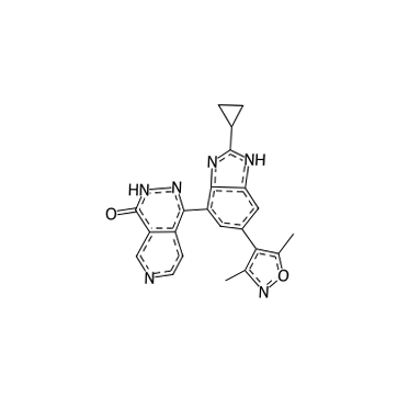 Cc1noc(C)c1-c1cc(-c2n[nH]c(=O)c3cnccc23)c2nc(C3CC3)[nH]c2c1